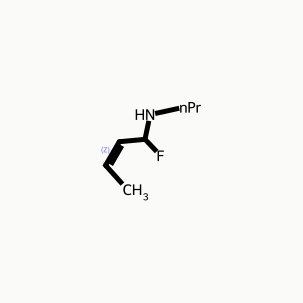 C/C=C\C(F)NCCC